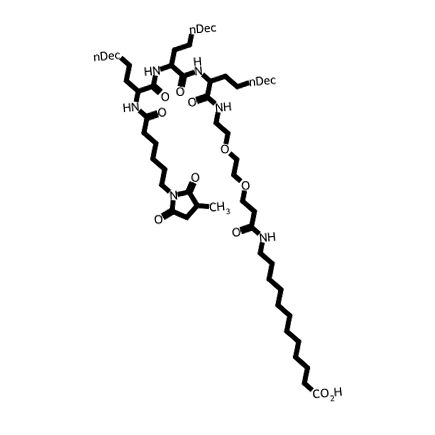 CCCCCCCCCCCCC(NC(=O)CCCCCN1C(=O)CC(C)C1=O)C(=O)NC(CCCCCCCCCCCC)C(=O)NC(CCCCCCCCCCCC)C(=O)NCCOCCOCCC(=O)NCCCCCCCCCCCC(=O)O